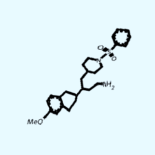 COc1ccc2c(c1)CCC(C(CCN)CC1CCN(S(=O)(=O)c3ccccc3)CC1)C2